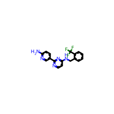 Nc1ccc(-c2nccc(NCc3ccccc3C(F)(F)F)n2)cn1